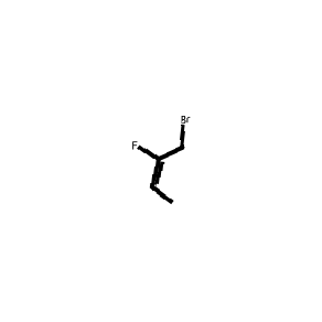 C/C=C(/F)CBr